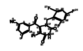 Cc1cc(C#N)cc(C(=O)c2c(C(C)C)c(=O)[nH]c(=O)n2Cc2c(F)cc(F)cc2F)c1